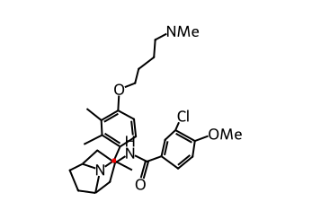 CNCCCCOc1ccc(C(C)N2C3CCC2CC(NC(=O)c2ccc(OC)c(Cl)c2)C3)c(C)c1C